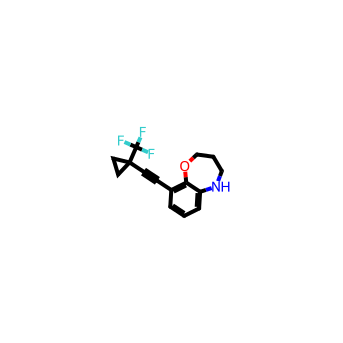 FC(F)(F)C1(C#Cc2cccc3c2OCCCN3)CC1